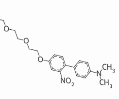 CN(C)c1ccc(-c2ccc(OCCOCCOCCF)cc2[N+](=O)[O-])cc1